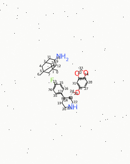 CC12CC3CC(C)(C1)CC(N)(C3)C2.Fc1ccc([C@@H]2CCNC[C@H]2COc2ccc3c(c2)OCO3)cc1